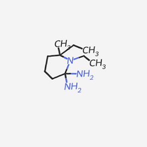 CCN1C(N)(N)CCCC1(C)CC